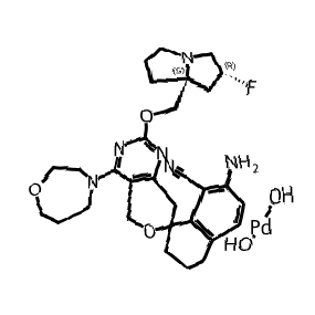 N#Cc1c(N)ccc2c1C1(CCC2)Cc2nc(OC[C@@]34CCCN3C[C@H](F)C4)nc(N3CCCOCC3)c2CO1.[OH][Pd][OH]